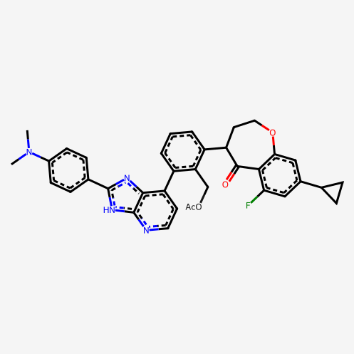 CC(=O)OCc1c(-c2ccnc3[nH]c(-c4ccc(N(C)C)cc4)nc23)cccc1C1CCOc2cc(C3CC3)cc(F)c2C1=O